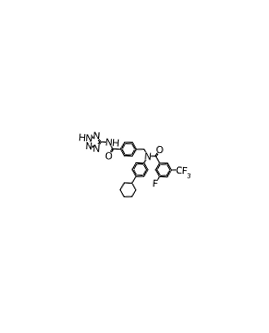 O=C(Nc1nn[nH]n1)c1ccc(CN(C(=O)c2cc(F)cc(C(F)(F)F)c2)c2ccc(C3CCCCC3)cc2)cc1